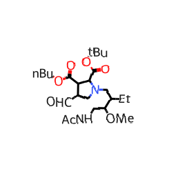 CCCCOC(=O)C1C(C=O)CN(CC(CC)C(CNC(C)=O)OC)C1C(=O)OC(C)(C)C